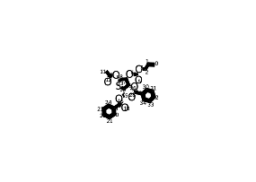 C=CCOC(=O)O[C@@H]1C(OC(C)=O)S[C@@H](COC(=O)c2ccccc2)[C@H]1OC(=O)c1ccccc1